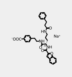 O=C(CCc1ccccc1)NCCC[C@H](NC(=O)c1cc2ccccc2o1)C(=O)NCCc1ccc(C(=O)[O-])cc1.[Na+]